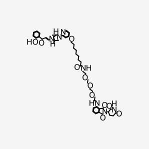 O=C(CCCCCCCCOc1ccnc(N2C[C@H]3C[C@@H]2CN3/C=C/C(=O)c2ccccc2O)c1)NCCOCCOCCOCCNc1cccc2c1C(=O)N(C1CCC(=O)NC1=O)C2=O